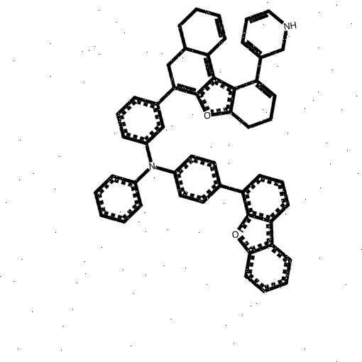 C1=CNCC(C2=CCCc3oc4c(c32)=C2C=CCCC2CC=4c2cccc(N(c3ccccc3)c3ccc(-c4cccc5c4oc4ccccc45)cc3)c2)=C1